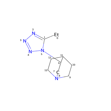 CCc1nnnn1C1CN2CCC1CC2